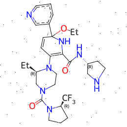 CCOC1(c2cccnc2)C=CC(N2CCN(C(=O)N3CCC[C@@H]3C(F)(F)F)C[C@H]2CC)=C(C(=O)N[C@@H]2CCNC2)N1